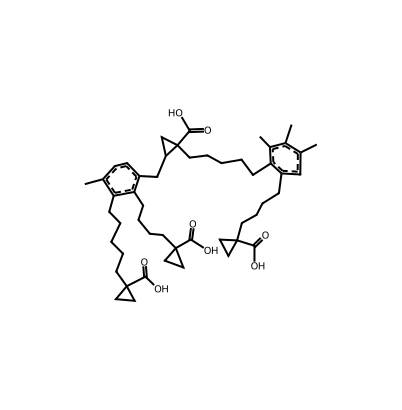 Cc1cc(CCCCC2(C(=O)O)CC2)c(CCCCCC2(C(=O)O)CC2Cc2ccc(C)c(CCCCCC3(C(=O)O)CC3)c2CCCCC2(C(=O)O)CC2)c(C)c1C